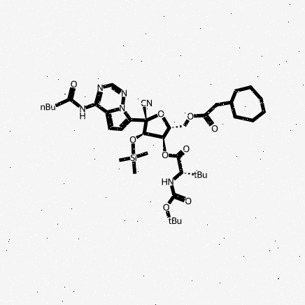 CCCCC(=O)Nc1ncnn2c([C@]3(C#N)O[C@H](COC(=O)CC4CCCCCC4)[C@@H](OC(=O)[C@@H](NC(=O)OC(C)(C)C)C(C)(C)C)[C@H]3O[Si](C)(C)C)ccc12